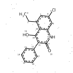 CCc1cc(Cl)cc2[nH]c(=O)c(-c3ccccc3)c(O)c12